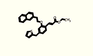 CCOC(=O)C=Cc1ccc(Cc2cccs2)cc1OCCc1ccc2ccccc2c1